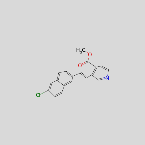 COC(=O)c1ccncc1C=Cc1ccc2cc(Cl)ccc2c1